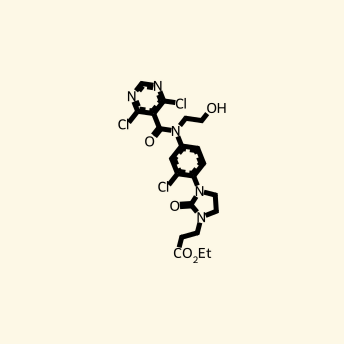 CCOC(=O)CCN1CCN(c2ccc(N(CCO)C(=O)c3c(Cl)ncnc3Cl)cc2Cl)C1=O